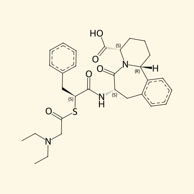 CCN(CC)CC(=O)S[C@@H](Cc1ccccc1)C(=O)N[C@H]1Cc2ccccc2[C@H]2CCC[C@@H](C(=O)O)N2C1=O